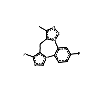 Cc1nnn2c1Cc1c(Br)ncn1-c1ccc(F)cc1-2